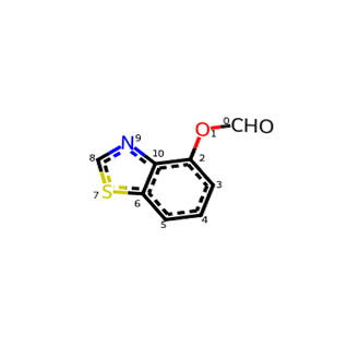 O=COc1cccc2scnc12